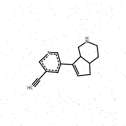 C#Cc1cncc(C2=CCC3CCNCC23)c1